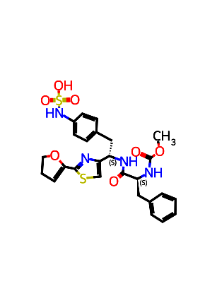 COC(=O)N[C@@H](Cc1ccccc1)C(=O)N[C@@H](Cc1ccc(NS(=O)(=O)O)cc1)c1csc(C2=CCCO2)n1